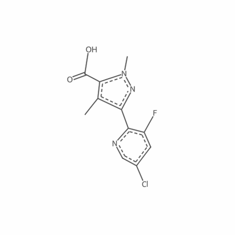 Cc1c(-c2ncc(Cl)cc2F)nn(C)c1C(=O)O